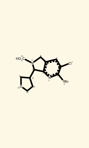 CC(C)(C)c1nc2c(cc1Cl)CN(C(=O)O)C2C1CCOC1